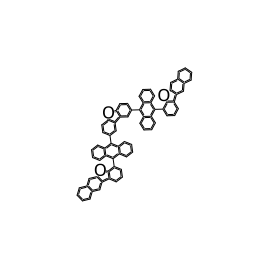 c1ccc2cc3c(cc2c1)oc1c(-c2c4ccccc4c(-c4ccc5oc6ccc(-c7c8ccccc8c(-c8cccc9c8oc8cc%10ccccc%10cc89)c8ccccc78)cc6c5c4)c4ccccc24)cccc13